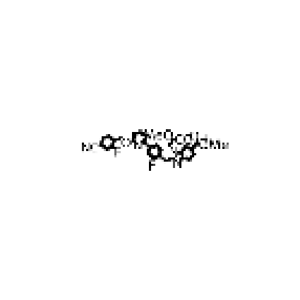 COC(=O)c1ccc2nc(Cc3ccc(-c4cccc(OCc5ccc(C#N)cc5F)n4)cc3F)n(C[C@H](OC)C(=O)O)c2c1